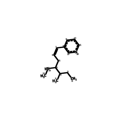 CCC(C)C(C/C=C\c1cccnc1)NC